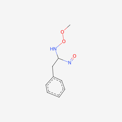 COONC(Cc1ccccc1)N=O